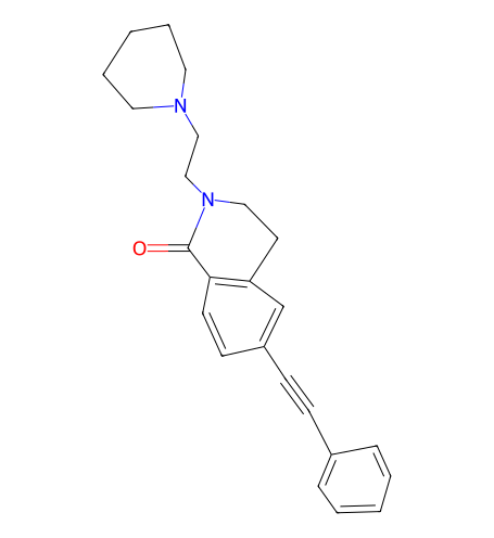 O=C1c2ccc(C#Cc3ccccc3)cc2CCN1CCN1CCCCC1